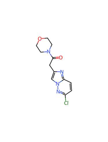 O=C(Cc1cn2nc(Cl)ccc2n1)N1CCOCC1